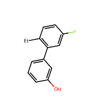 CCc1ccc(F)cc1-c1cccc(O)c1